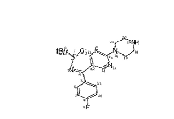 CC(C)(C)[S+]([O-])N=C(c1ccc(F)cc1)c1cnc(N2CCNCC2)nc1